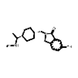 CC(C)NC(C)[C@H]1CC[C@H](CN2Cc3ccc(O)cc3C2=O)CC1